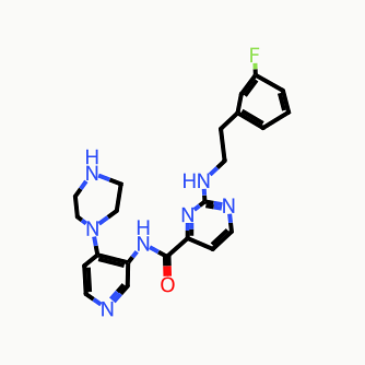 O=C(Nc1cnccc1N1CCNCC1)c1ccnc(NCCc2cccc(F)c2)n1